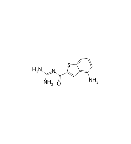 NC(N)=NC(=O)c1cc2c(N)cccc2s1